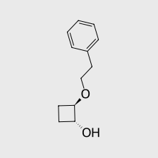 O[C@@H]1CC[C@H]1OCCc1ccccc1